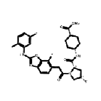 COC(=O)[C@H]1CC[C@H](NC(=O)[C@@H]2C[C@H](F)CN2C(=O)Cc2ccc3nc(Nc4cc(F)ccc4C)oc3c2F)CC1